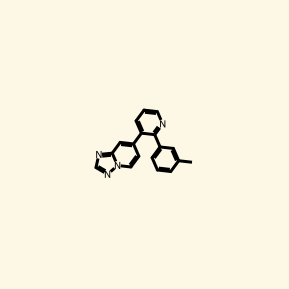 Cc1cccc(-c2ncccc2-c2ccn3ncnc3c2)c1